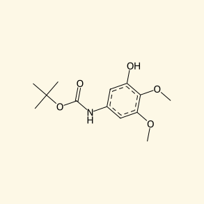 COc1cc(NC(=O)OC(C)(C)C)cc(O)c1OC